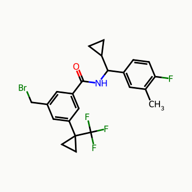 Cc1cc(C(NC(=O)c2cc(CBr)cc(C3(C(F)(F)F)CC3)c2)C2CC2)ccc1F